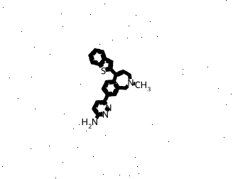 CN1CC=C(c2cc3ccccc3s2)c2ccc(-c3ccc(N)nn3)cc2C1